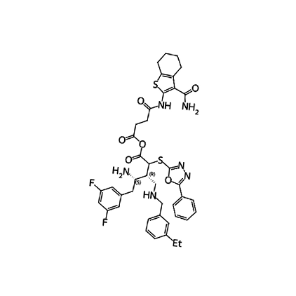 CCc1cccc(CNC[C@@H](C(Sc2nnc(-c3ccccc3)o2)C(=O)OC(=O)CCC(=O)Nc2sc3c(c2C(N)=O)CCCC3)[C@@H](N)Cc2cc(F)cc(F)c2)c1